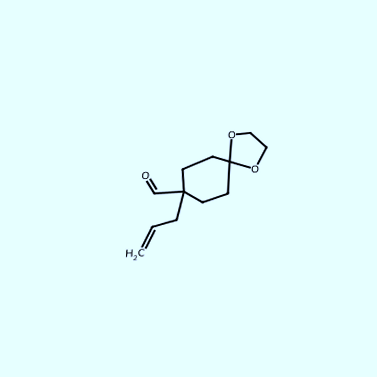 C=CCC1(C=O)CCC2(CC1)OCCO2